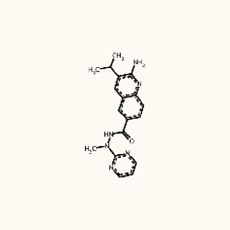 CC(C)c1cc2cc(C(=O)NN(C)c3ncccn3)ccc2nc1N